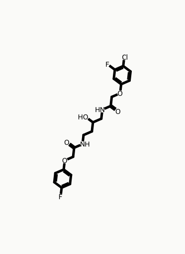 O=C(COc1ccc(F)cc1)NCCC(O)CNC(=O)COc1ccc(Cl)c(F)c1